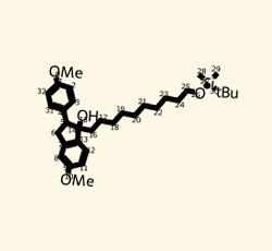 COc1ccc(C2Cc3cc(OC)ccc3C2(O)CCCCCCCCCCO[Si](C)(C)C(C)(C)C)cc1